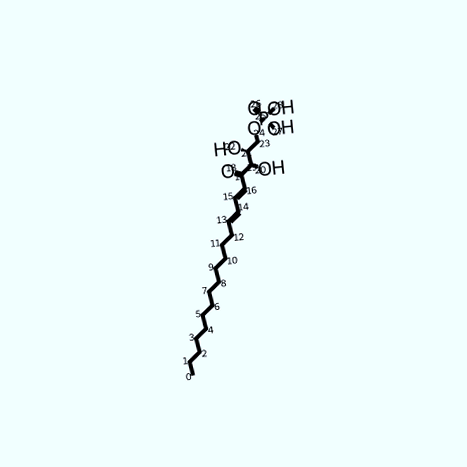 CCCCCCCCCCCCCC=CC=CC(=O)C(O)[C@@H](O)COP(=O)(O)O